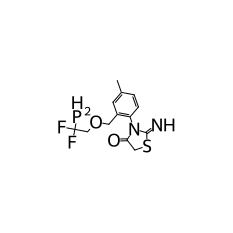 Cc1ccc(N2C(=N)SCC2=O)c(COCC(F)(F)P)c1